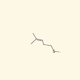 [CH2]SCCC=C(C)C